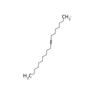 [CH2]CCCCCCC#CCCCCCCCCC[CH2]